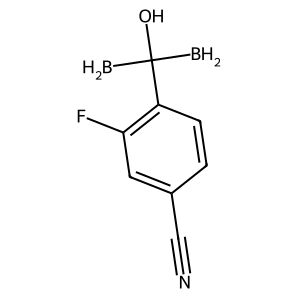 BC(B)(O)c1ccc(C#N)cc1F